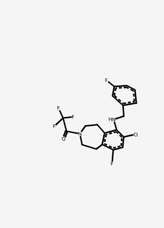 O=C(N1CCc2c(F)cc(Cl)c(NCc3cccc(F)c3)c2CC1)C(F)(F)F